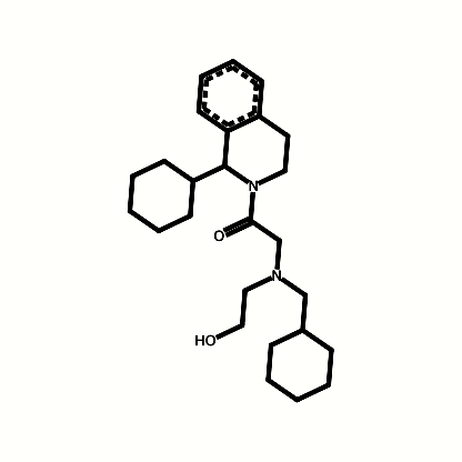 O=C(CN(CCO)CC1CCCCC1)N1CCc2ccccc2C1C1CCCCC1